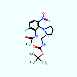 CC(=O)Nc1c(F)ccc([N+](=O)[O-])c1N1CCC[C@H]1CNC(=O)OC(C)(C)C